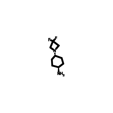 N[C@H]1CC[C@H](N2CC(F)(F)C2)CC1